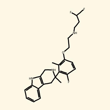 Cc1c(OCCNCCC(F)F)ccc(F)c1C1(C)Cc2c([nH]c3ccccc23)CN1